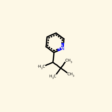 [CH2]C(c1ccccn1)C(C)(C)C